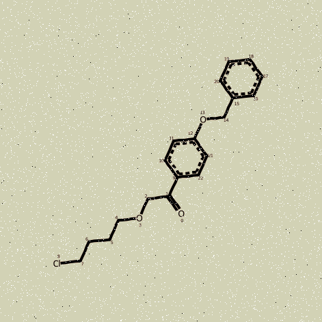 O=C(COCCCCCl)c1ccc(OCc2ccccc2)cc1